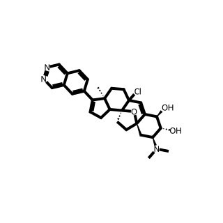 CN(C)[C@H]1C[C@@]23CC[C@]4(O2)C2CC=C(c5ccc6cnncc6c5)[C@@]2(C)CCC4(Cl)C=C3[C@@H](O)[C@@H]1O